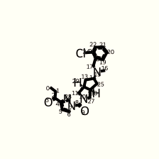 CCC(=O)c1ccn(C(=O)N2C[C@H]3C[C@@H](N(C)Cc4ccccc4Cl)C[C@H]3C2)n1